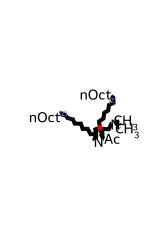 CCCCCCCC/C=C\CCCCCCCC1(CCCCCCC/C=C\CCCCCCCC)C=NC(C(C)=O)N1CCCN(C)C